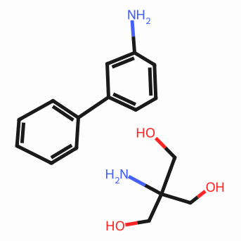 NC(CO)(CO)CO.Nc1cccc(-c2ccccc2)c1